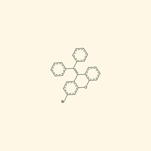 Brc1ccc2c(c1)Oc1ccccc1C2=C(c1ccccc1)c1ccccc1